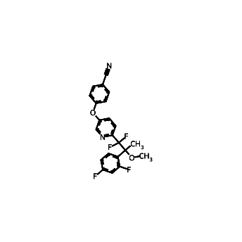 COC(C)(c1ccc(F)cc1F)C(F)(F)c1ccc(Oc2ccc(C#N)cc2)cn1